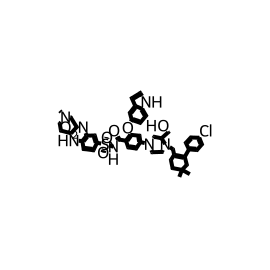 CN1CCC(Nc2ccc(S(=O)(=O)NC(=O)c3ccc(N4CCN(CC5=C(c6ccc(Cl)cc6)CC(C)(C)CC5)C(CO)C4)cc3Oc3ccc4[nH]ccc4c3)cc2[N+](=O)[O-])CC1